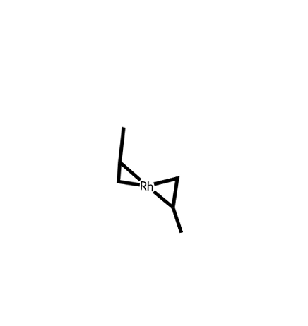 C[CH]1[CH2][Rh]12[CH2][CH]2C